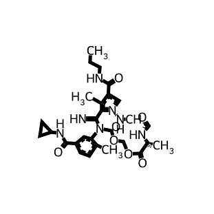 CCCNC(=O)c1cn(NC)c(C(=N)N(C(=O)OCOC(=O)[C@H](C)NC=O)c2cc(C(=O)NC3CC3)ccc2C)c1C